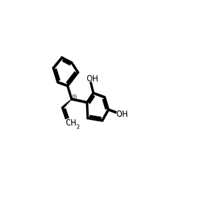 C=C[C@@H](c1ccccc1)c1ccc(O)cc1O